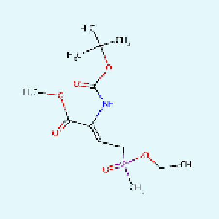 CCOP(C)(=O)C/C=C(\NC(=O)OC(C)(C)C)C(=O)OC